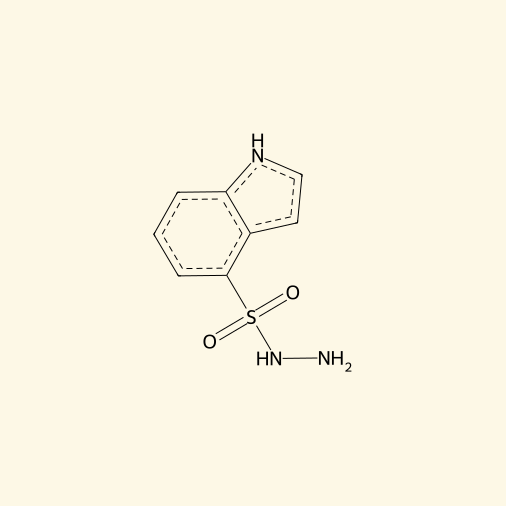 NNS(=O)(=O)c1cccc2[nH]ccc12